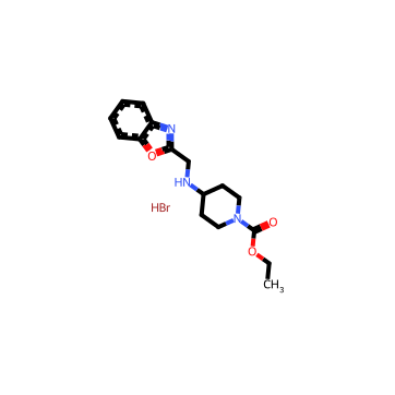 Br.CCOC(=O)N1CCC(NCc2nc3ccccc3o2)CC1